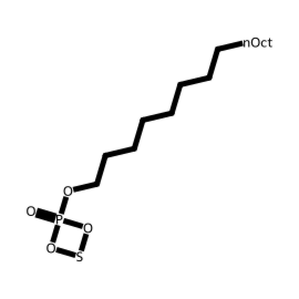 CCCCCCCCCCCCCCCCOP1(=O)OSO1